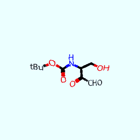 CC(C)(C)OC(=O)NC(CO)C(=O)C=O